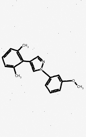 COc1cccc(-n2cc(-c3c(C)cccc3C)cn2)c1